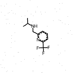 CC(C)NCc1cccc(C(F)(F)F)n1